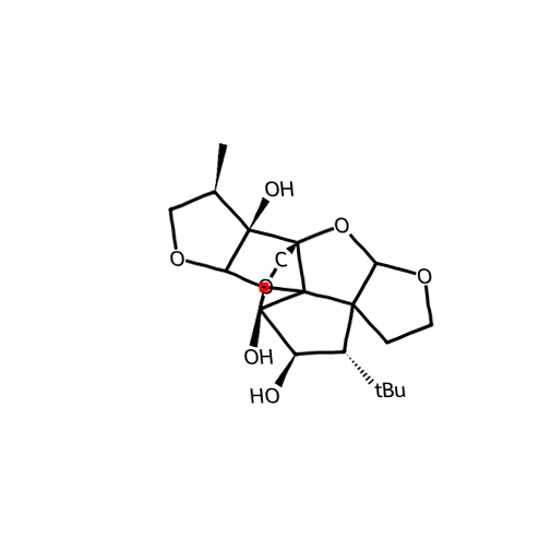 C[C@@H]1COC2[C@H](O)C34C5OC[C@]3(OC3OCCC34[C@H](C(C)(C)C)[C@H]5O)[C@]21O